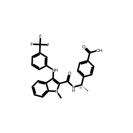 C[C@H](NC(=O)c1c(Nc2cccc(C(F)(F)F)c2)c2ccccc2n1C)c1ccc(C(=O)O)cc1